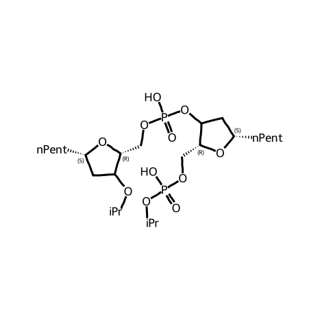 CCCCC[C@H]1CC(OC(C)C)[C@@H](COP(=O)(O)OC2C[C@H](CCCCC)O[C@@H]2COP(=O)(O)OC(C)C)O1